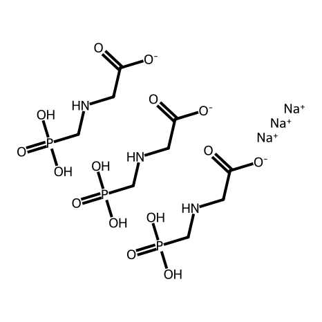 O=C([O-])CNCP(=O)(O)O.O=C([O-])CNCP(=O)(O)O.O=C([O-])CNCP(=O)(O)O.[Na+].[Na+].[Na+]